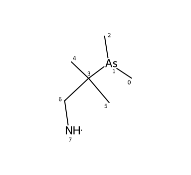 C[As](C)C(C)(C)C[NH]